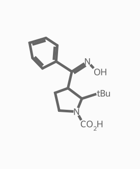 CC(C)(C)C1C(C(=NO)c2ccccc2)CCN1C(=O)O